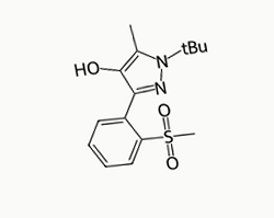 Cc1c(O)c(-c2ccccc2S(C)(=O)=O)nn1C(C)(C)C